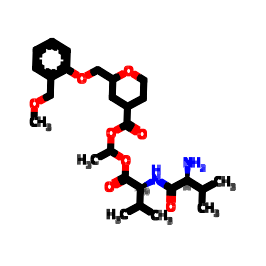 COCc1ccccc1OCC1CC(C(=O)OC(C)OC(=O)[C@@H](NC(=O)[C@@H](N)C(C)C)C(C)C)CCO1